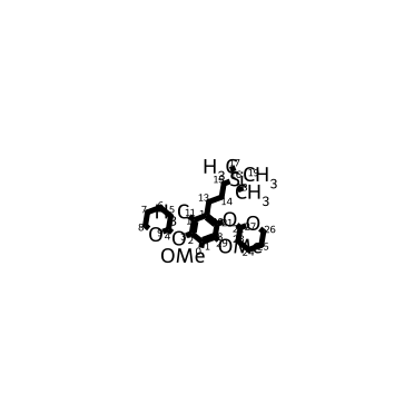 COc1c(OC2CCCCO2)c(C)c(CCC[Si](C)(C)C)c(OC2CCCCO2)c1OC